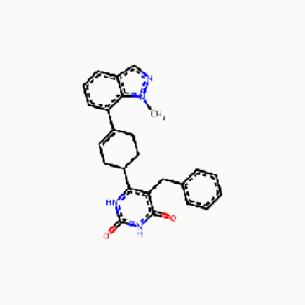 Cn1ncc2cccc(C3=CCC(c4[nH]c(=O)[nH]c(=O)c4Cc4ccccc4)CC3)c21